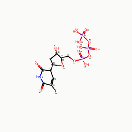 O=C1NC(=O)C([C@H]2C[C@@H](O)[C@@H](COP(=O)(O)OP(=O)(O)OP(=O)(O)O)O2)C=C1I